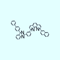 c1ccc(-c2ccc(-c3nc(-c4cccc(-c5ccc6ccc7ccc(-c8ccc9ccccc9c8)nc7c6n5)c4)nc4ccccc34)cc2)cc1